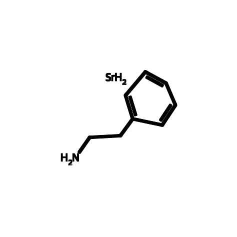 NCCc1ccccc1.[SrH2]